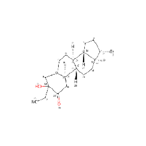 CC[C@H]1CC[C@H]2[C@@H]3CCC4CC(O)(CC#N)C(=O)C[C@]4(C)[C@H]3CC[C@]12C